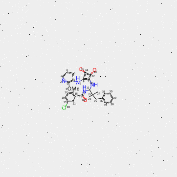 COc1ncccc1Nc1c(NC(NC(=O)c2cccc(Cl)c2)C(C)(C)Cc2ccccc2)c(=O)c1=O